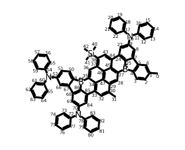 Cc1ccc2c(c1)-c1cc(N(c3ccccc3)c3ccccc3)cc3c1B2c1cc2c(C)cc4c5c(cc6c([Si](C)(C)C)cc-3c1c6c25)B1c2ccc(N(c3ccccc3)c3ccccc3)cc2-c2cc(N(c3ccccc3)c3ccccc3)cc-4c21